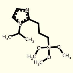 CO[Si](CCCc1nccn1C(C)C)(OC)OC